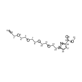 C#CCOCCOCCOCCOCCn1ccc(C(=O)OC)n1